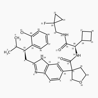 CC(C)[C@H](Cc1nc2ccc(C3(C(=O)N[C@@H](C(=O)NCC4(F)CC4)C4CCC4)CCOC3)cc2[nH]1)c1ccccc1Cl